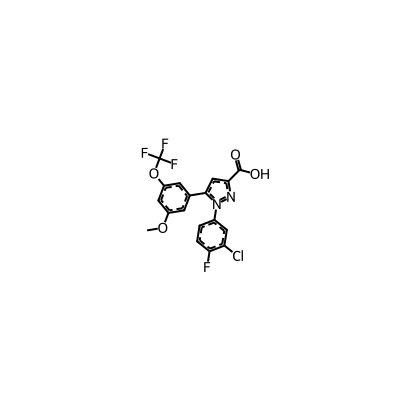 COc1cc(OC(F)(F)F)cc(-c2cc(C(=O)O)nn2-c2ccc(F)c(Cl)c2)c1